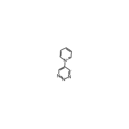 [c]1nnncc1-[n+]1ccccc1